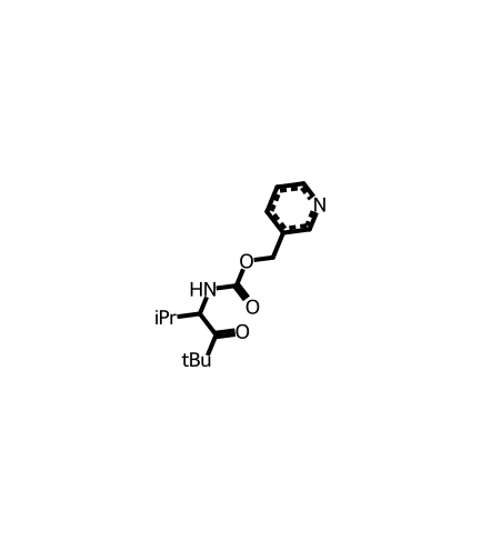 CC(C)C(NC(=O)OCc1cccnc1)C(=O)C(C)(C)C